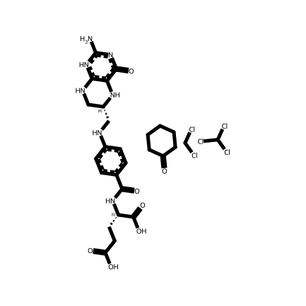 ClC(Cl)Cl.ClCCl.Nc1nc(=O)c2c([nH]1)NC[C@@H](CNc1ccc(C(=O)N[C@@H](CCC(=O)O)C(=O)O)cc1)N2.O=C1CCCCC1